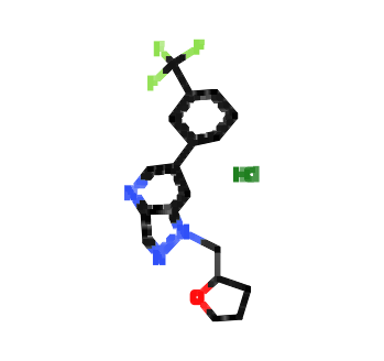 Cl.FC(F)(F)c1cccc(-c2cnc3cnn(CC4CCCO4)c3c2)c1